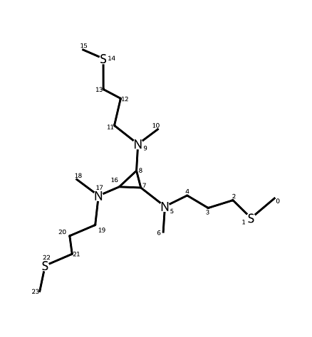 CSCCCN(C)C1C(N(C)CCCSC)C1N(C)CCCSC